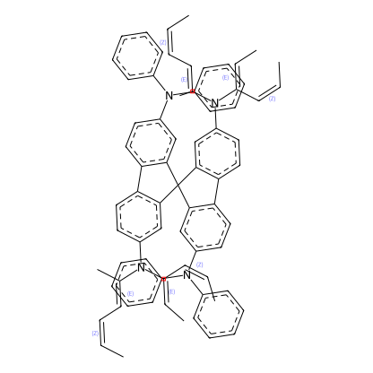 C/C=C\C=C(/C)N(C(/C=C\C)=C/C)c1ccc2c(c1)C1(c3cc(N(/C(C)=C/C=C\C)C(/C=C\C)=C/C)ccc3-c3ccc(N(c4ccccc4)c4ccccc4)cc31)c1cc(N(c3ccccc3)c3ccccc3)ccc1-2